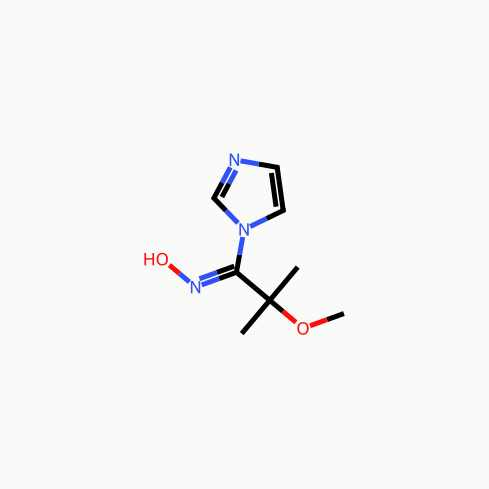 COC(C)(C)/C(=N/O)n1ccnc1